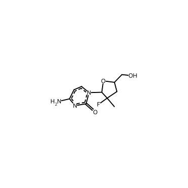 CC1(F)CC(CO)OC1n1ccc(N)nc1=O